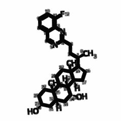 C[C@H](CCc1ncc2cccc(F)c2n1)[C@H]1CC[C@H]2[C@H]3C(CC[C@]12C)[C@@]1(C)CC[C@@H](O)C[C@H]1C[C@H]3O